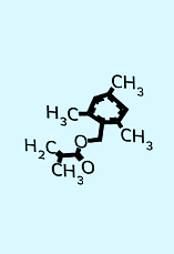 C=C(C)C(=O)OCc1c(C)cc(C)cc1C